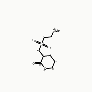 COCCS(=O)(=O)CC1CCCOC1=O